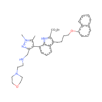 CCOC(=O)c1[nH]c2c(-c3c(CNCCN4CCOCC4)nn(C)c3C)cccc2c1CCCOc1cccc2ccccc12